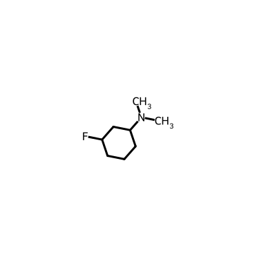 CN(C)C1CCCC(F)C1